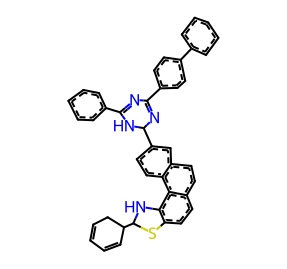 C1=CCC(C2Nc3c(ccc4ccc5cc(C6N=C(c7ccc(-c8ccccc8)cc7)N=C(c7ccccc7)N6)ccc5c34)S2)C=C1